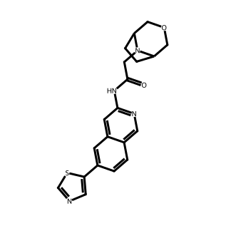 O=C(CN1C2CCC1COC2)Nc1cc2cc(-c3cncs3)ccc2cn1